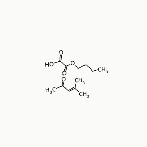 CC(=O)C=C(C)C.CCCCOC(=O)C(=O)O